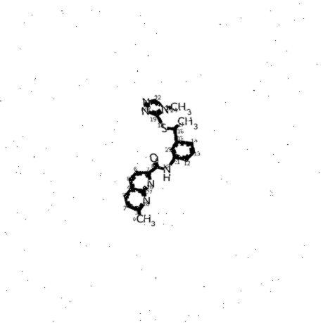 Cc1ccc2ccc(C(=O)Nc3cccc(C(C)Sc4nncn4C)c3)nc2n1